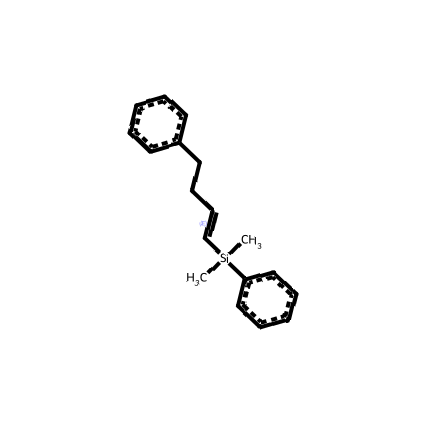 C[Si](C)(/C=C/CCc1ccccc1)c1ccccc1